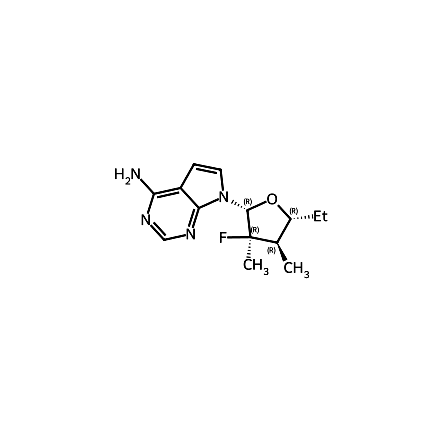 CC[C@H]1O[C@@H](n2ccc3c(N)ncnc32)[C@](C)(F)[C@@H]1C